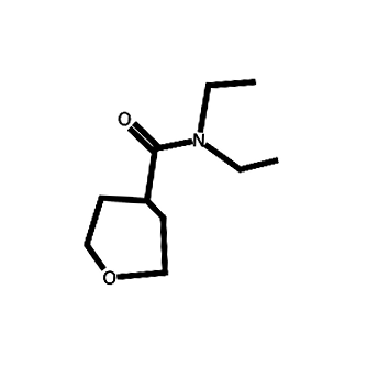 CCN(CC)C(=O)C1CCOCC1